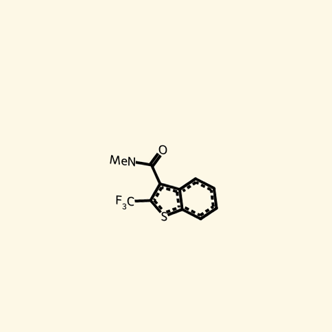 CNC(=O)c1c(C(F)(F)F)sc2ccccc12